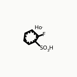 O=S(=O)(O)c1ccccc1F.[Ho]